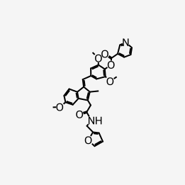 COc1ccc2c(c1)C(CC(=O)NCc1ccco1)=C(C)C2=Cc1cc(OC)c(OC(=O)c2cccnc2)c(OC)c1